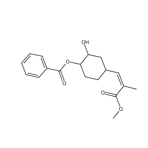 COC(=O)C(C)=CC1CCC(OC(=O)c2ccccc2)C(O)C1